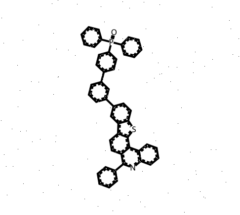 O=P(c1ccccc1)(c1ccccc1)c1ccc(-c2cccc(-c3ccc4sc5c(ccc6c(-c7ccccc7)nc7ccccc7c65)c4c3)c2)cc1